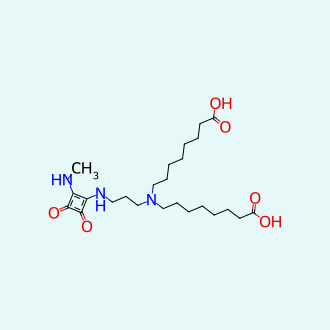 CNc1c(NCCCN(CCCCCCCC(=O)O)CCCCCCCC(=O)O)c(=O)c1=O